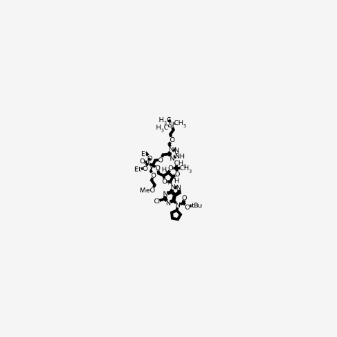 CCOP(=O)(OCC)[C@](COCCOC)(COCc1n[nH]n[n+]1COCC[Si](C)(C)C)OCC1O[C@@H](n2ncc3c(N(C(=O)OC(C)(C)C)C4CCCC4)nc(Cl)nc32)[C@@H]2OC(C)(C)O[C@H]12